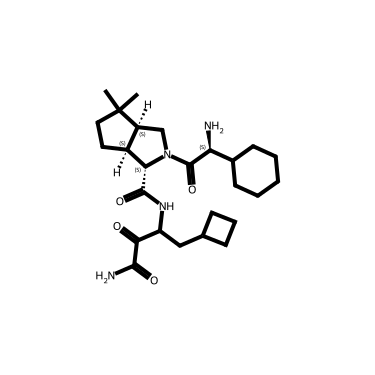 CC1(C)CC[C@@H]2[C@@H](C(=O)NC(CC3CCC3)C(=O)C(N)=O)N(C(=O)[C@@H](N)C3CCCCC3)C[C@@H]21